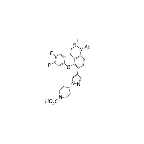 CC(=O)N1c2ccc(-c3cnn(C4CCN(C(=O)O)CC4)c3)c(Oc3ccc(F)c(F)c3)c2CC[C@@H]1C